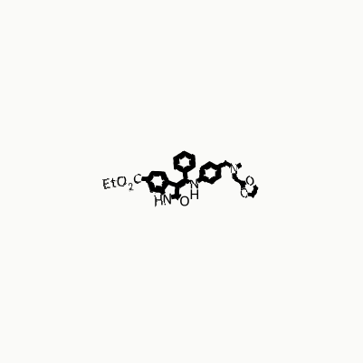 CCOC(=O)c1ccc2c(c1)NC(=O)/C2=C(\Nc1ccc(CN(C)CC2OCCO2)cc1)c1ccccc1